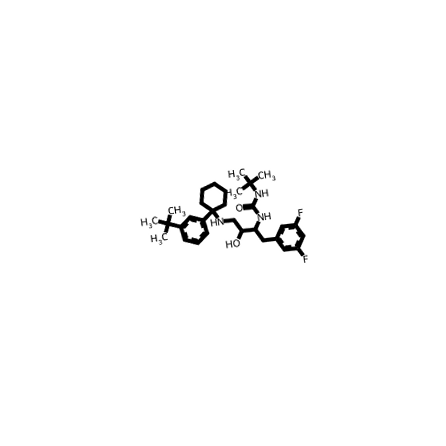 CC(C)(C)NC(=O)NC(Cc1cc(F)cc(F)c1)C(O)CNC1(c2cccc(C(C)(C)C)c2)CCCCC1